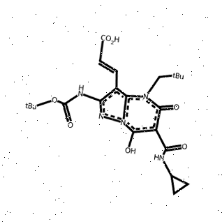 CC(C)(C)Cn1c(=O)c(C(=O)NC2CC2)c(O)n2nc(NC(=O)OC(C)(C)C)c(/C=C/C(=O)O)c12